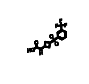 O=C(O)NC1CC(S(=O)(=O)c2cccc(C(F)(F)F)c2)C1